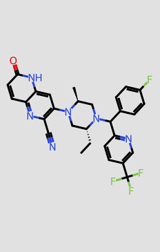 CC[C@@H]1CN(c2cc3[nH]c(=O)ccc3nc2C#N)[C@@H](C)CN1C(c1ccc(F)cc1)c1ccc(C(F)(F)F)cn1